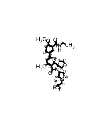 CCNC(=O)c1cc(-c2cc(C)c3c(n2)[C@]2(CCOC2)N(c2cnn(CC(F)(F)F)c2)C3=O)cnc1OC